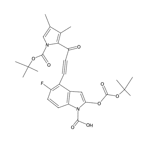 Cc1cn(C(=O)OC(C)(C)C)c(C(=O)C#Cc2c(F)ccc3c2cc(OC(=O)OC(C)(C)C)n3C(=O)O)c1C